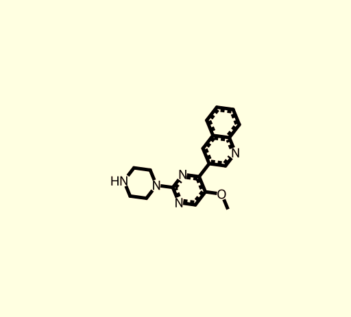 COc1cnc(N2CCNCC2)nc1-c1cnc2ccccc2c1